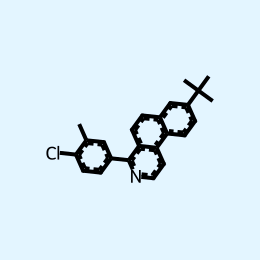 Cc1cc(-c2nccc3c2ccc2cc(C(C)(C)C)ccc23)ccc1Cl